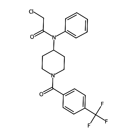 O=C(c1ccc(C(F)(F)F)cc1)N1CCC(N(C(=O)CCl)c2ccccc2)CC1